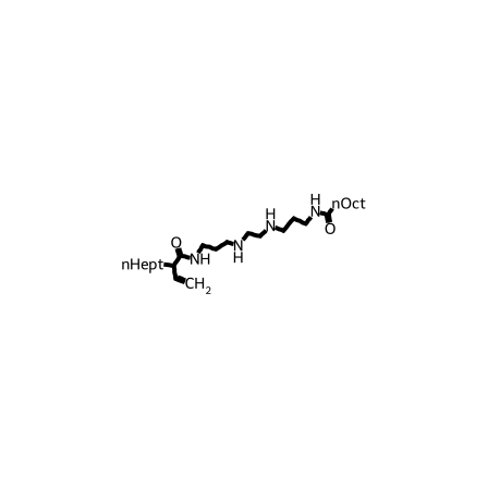 C=CC(CCCCCCC)C(=O)NCCCNCCNCCCNC(=O)CCCCCCCC